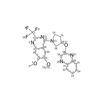 COc1cc2nc(C(F)(F)F)nc(N3CCC(Oc4cnc5ccccc5n4)C3)c2cc1OC